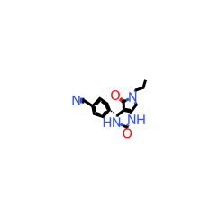 CCCN1CC2=C(C1=O)[C@@H](c1ccc(C#N)cc1)NC(=O)N2